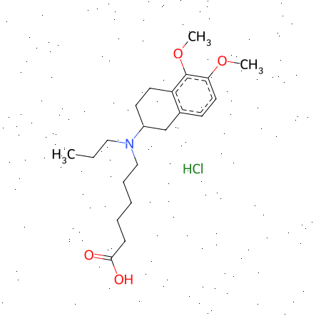 CCCN(CCCCCC(=O)O)C1CCc2c(ccc(OC)c2OC)C1.Cl